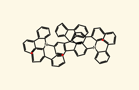 c1ccc(-c2ccccc2N(c2ccc3c(c2)C2(c4ccccc4-c4ccccc42)c2cc(N(c4ccccc4-c4ccccc4)c4ccccc4-c4ccccc4)ccc2-3)c2ccccc2-c2ccccc2)cc1